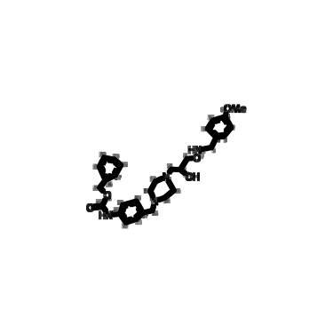 COc1ccc(CNOCC(O)CN2CCN(Cc3ccc(NC(=O)OCc4ccccc4)cc3)CC2)cc1